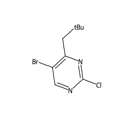 [CH2]C(C)(C)Cc1nc(Cl)ncc1Br